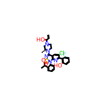 C=CC(O)N1CCN(C2=NS(=O)(=O)N(c3ccccc3C(C)C)c3nc(-c4c(O)cccc4F)c(Cl)cc32)[C@@H](C)C1